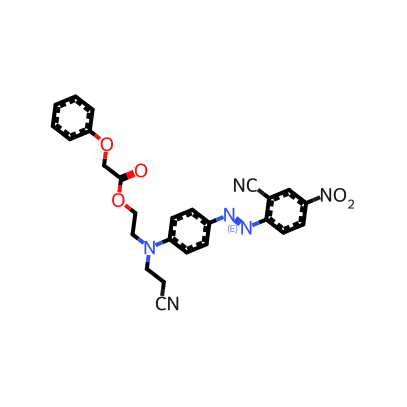 N#CCCN(CCOC(=O)COc1ccccc1)c1ccc(/N=N/c2ccc([N+](=O)[O-])cc2C#N)cc1